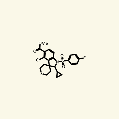 COC(=O)c1ccc2c(c1Cl)C1(CCSCC1)C(C1CC1)N2S(=O)(=O)c1ccc(F)cc1